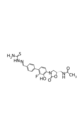 CC(=O)NC[C@H]1CN(c2ccc(-c3ccc(C=NNC(N)=S)cc3)c(F)c2O)C(=O)O1